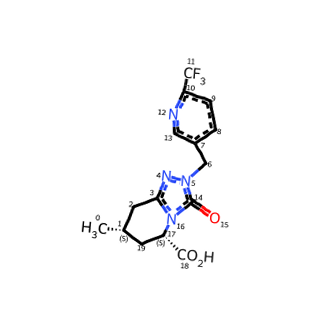 C[C@@H]1Cc2nn(Cc3ccc(C(F)(F)F)nc3)c(=O)n2[C@H](C(=O)O)C1